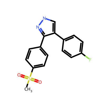 CS(=O)(=O)c1ccc(C2=N[N]C=C2c2ccc(F)cc2)cc1